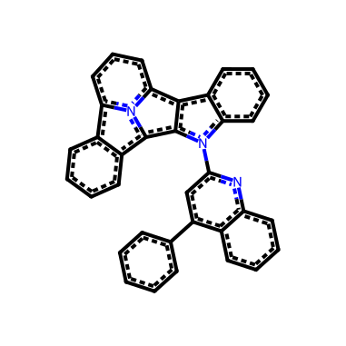 c1ccc(-c2cc(-n3c4ccccc4c4c3c3c5ccccc5c5cccc4n53)nc3ccccc23)cc1